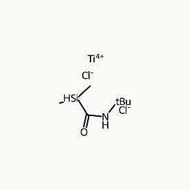 C[SiH](C)C(=O)NC(C)(C)C.[Cl-].[Cl-].[Ti+4]